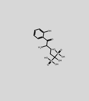 NC(CCC(O)(P(=O)(O)O)P(=O)(O)O)C(=O)c1ccccc1O